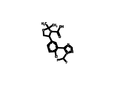 CC1(C)OCC(c2ccc(Cl)c(-c3ncnn3C(F)F)c2)N1C(=O)O